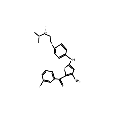 C[C@H](COc1ccc(Nc2nc(N)c(C(=O)c3cccc(F)c3)s2)cc1)N(C)C